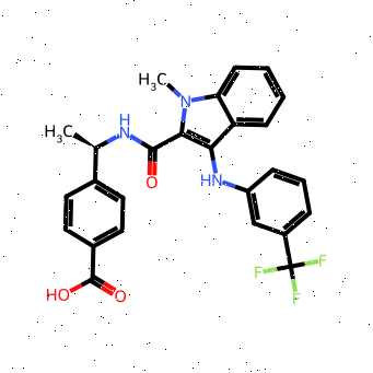 C[C@@H](NC(=O)c1c(Nc2cccc(C(F)(F)F)c2)c2ccccc2n1C)c1ccc(C(=O)O)cc1